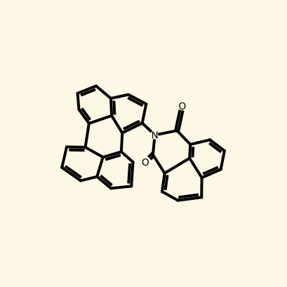 O=C1c2cccc3cccc(c23)C(=O)N1c1ccc2cccc3c4cccc5cccc(c1c23)c54